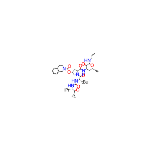 C#CCCC(NC(=O)[C@@H]1C[C@@H](OC(=O)N2CCc3ccccc3C2)CN1C(=O)[C@@H](NC(=O)N[C@H](C(=O)C1CC1)C(C)C)C(C)(C)C)C(=O)C(=O)NCC=C